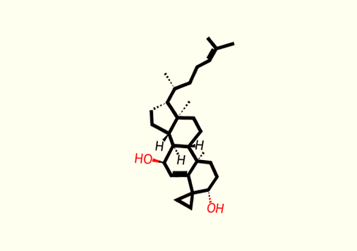 CC(C)=CCC[C@@H](C)[C@H]1CC[C@H]2[C@@H]3[C@H](O)C=C4C5(CC5)[C@@H](O)CC[C@]4(C)[C@H]3CC[C@]12C